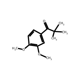 COc1ccc(C(=O)C(C)(C)C)cc1OC